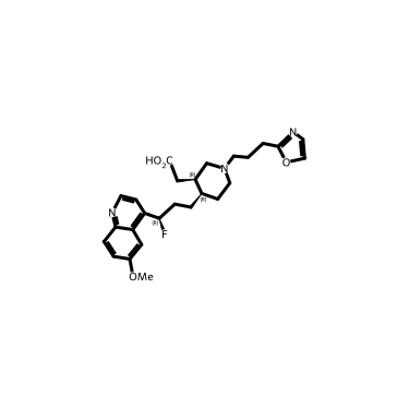 COc1ccc2nccc([C@H](F)CC[C@@H]3CCN(CCCc4ncco4)C[C@@H]3CC(=O)O)c2c1